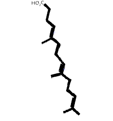 CC(C)=CCC/C(C)=C/CC/C(C)=C/CCC(=O)O